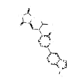 CC(C)C(/C=C1\OC(=O)NC1=O)c1ccc(-c2cnc3c(ccn3C)c2)[nH]c1=O